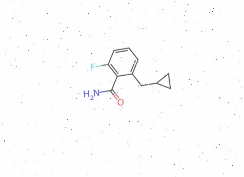 NC(=O)c1c(F)cccc1[CH]C1CC1